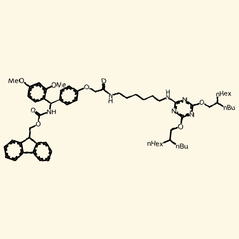 CCCCCCC(CCCC)COc1nc(NCCCCCCNC(=O)COc2ccc(C(NC(=O)OCC3c4ccccc4-c4ccccc43)c3ccc(OC)cc3OC)cc2)nc(OCC(CCCC)CCCCCC)n1